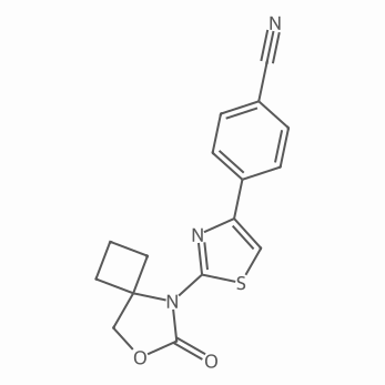 N#Cc1ccc(-c2csc(N3C(=O)OCC34CCC4)n2)cc1